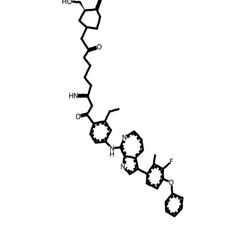 C=C1CCC(CC(=O)CCCCC(=N)CC(=O)c2ccc(Nc3ncccc4c(-c5ccc(Oc6ccccc6)c(F)c5C)cnc3-4)cc2CC)C[C@H]1CO